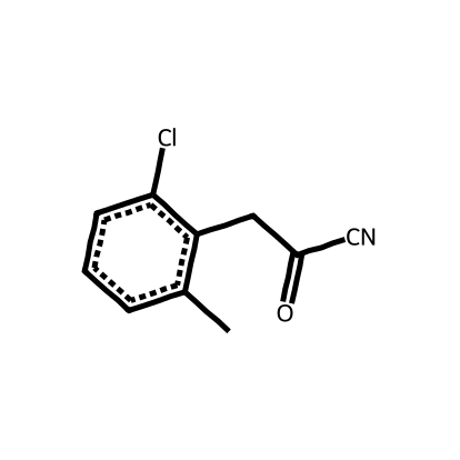 Cc1cccc(Cl)c1CC(=O)C#N